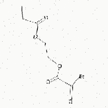 C=CC(=O)OCCOC(=O)C(=O)CC